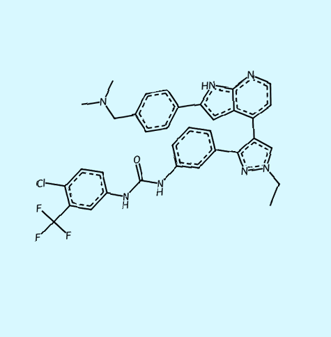 CCn1cc(-c2ccnc3[nH]c(-c4ccc(CN(C)C)cc4)cc23)c(-c2cccc(NC(=O)Nc3ccc(Cl)c(C(F)(F)F)c3)c2)n1